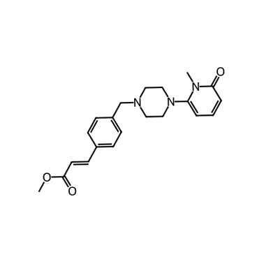 COC(=O)C=Cc1ccc(CN2CCN(c3cccc(=O)n3C)CC2)cc1